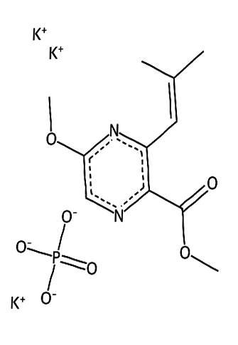 COC(=O)c1ncc(OC)nc1C=C(C)C.O=P([O-])([O-])[O-].[K+].[K+].[K+]